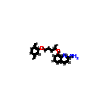 Cc1ccc(C)c(OCCCC(C)Oc2cccc3ccc(N)nc23)c1